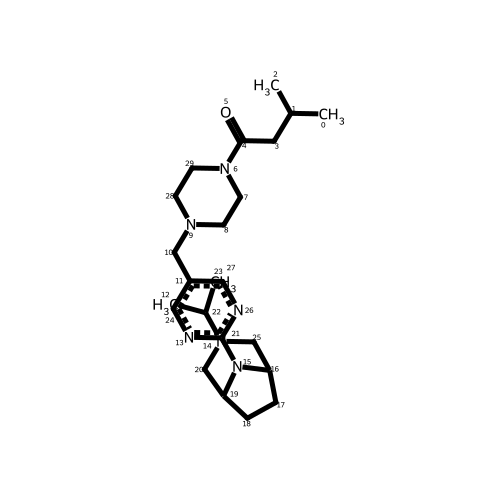 CC(C)CC(=O)N1CCN(Cc2cnc(N3C4CCC3CN(C(C)C)C4)nc2)CC1